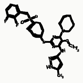 COc1c(Nc2cc(C)[nH]n2)nc(Sc2ccc(S(=O)(=O)Cc3cccc(F)c3F)cc2)nc1N1CCCCC1